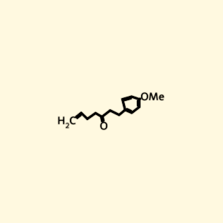 C=CCCC(=O)CCc1ccc(OC)cc1